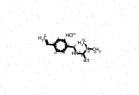 C=Cc1ccc(CNC(CC)N(C)C)cc1.Cl